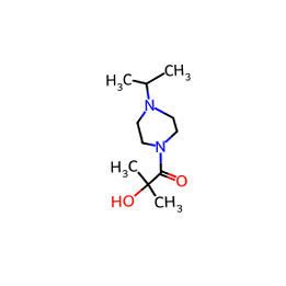 CC(C)N1CCN(C(=O)C(C)(C)O)CC1